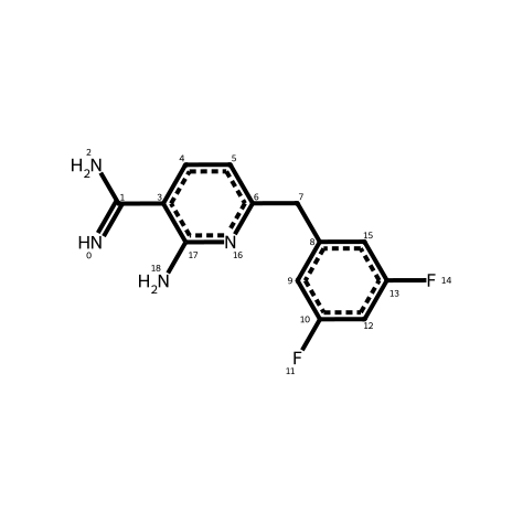 N=C(N)c1ccc(Cc2cc(F)cc(F)c2)nc1N